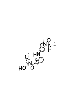 COC1CC(CO)N(C(=O)c2cc3cccc(Nc4ccc5c(c4)cc(C)n5C(=O)NC4CC4)c3s2)C1